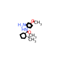 COc1ccc(NC(=O)[C@@H]2CCCC[C@H]2C(C)C)c(N)c1